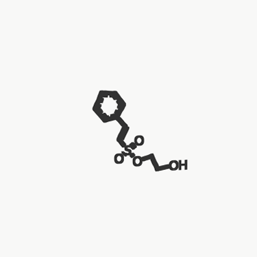 O=S(=O)(C=Cc1ccccc1)OCCO